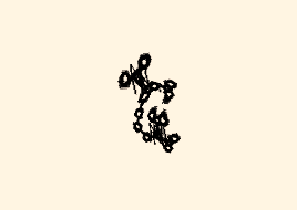 c1ccc(-c2nc(-c3ccccc3)nc(-n3c4ccc(-c5ccc(-c6cccc(-c7cccc(-c8nc(-n9c%10ccccc%10c%10ccccc%109)nc(-n9c%10ccccc%10c%10ccccc%109)n8)c7)c6)cc5)cc4c4cc(-n5c6ccccc6c6ccccc65)ccc43)n2)cc1